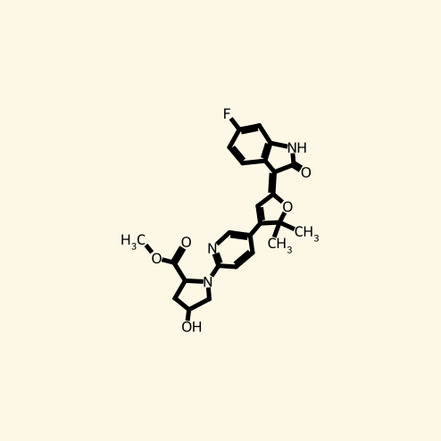 COC(=O)C1CC(O)CN1c1ccc(C2=CC(=C3C(=O)Nc4cc(F)ccc43)OC2(C)C)cn1